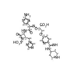 N=C(NC1CCNCC1)c1ccc(OC[C@H](O/N=C(\C(=O)N[C@@H]2C(=O)N(S(=O)(=O)O)[C@@H]2Cn2cncn2)c2csc(N)n2)C(=O)O)cn1